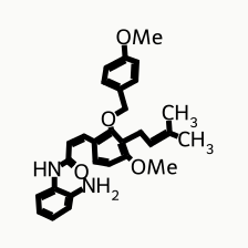 COc1ccc(COc2c(/C=C\C(=O)Nc3ccccc3N)ccc(OC)c2CC=C(C)C)cc1